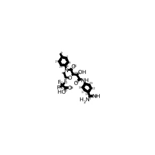 Cc1ccc(N2CCOC(C(O)C(=O)Nc3ccc(C(=N)N)cc3)C2=O)cc1.O=C(O)C(F)(F)F